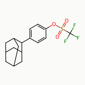 O=S(=O)(Oc1ccc(C2C3CC4CC(C3)CC2C4)cc1)C(F)(F)F